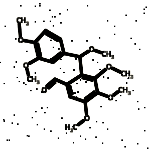 COc1ccc(C(OC)c2c(C=O)cc(OC)c(OC)c2OC)cc1OC